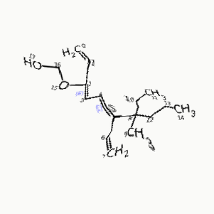 C=C/C(=C\C=C(/C=C)C(C)(CC)CCC)OCO